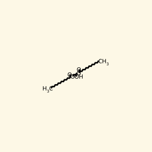 CCCCCCCCCCCCCC(=O)OCC(O)COC(=O)CCCCCCCCCCCCC